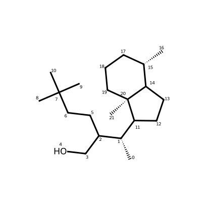 C[C@H](C(CO)CCC(C)(C)C)C1CCC2[C@@H](C)CCC[C@]12C